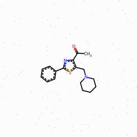 CC(=O)c1nc(-c2ccccc2)sc1CN1CCCCC1